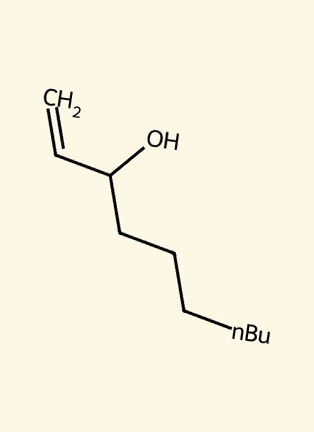 C=CC(O)CCCCCCC